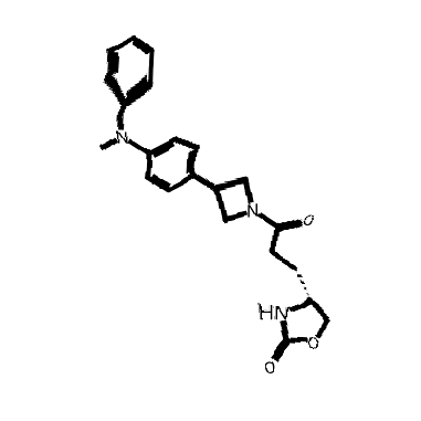 CN(c1ccccc1)c1ccc(C2CN(C(=O)CC[C@@H]3COC(=O)N3)C2)cc1